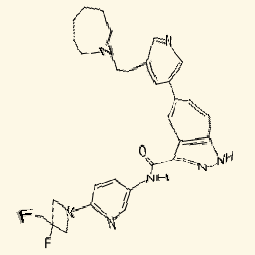 O=C(Nc1ccc(N2CC(F)(F)C2)nc1)c1n[nH]c2ccc(-c3cncc(CN4CCCCCC4)c3)cc12